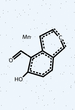 O=Cc1c(O)ccc2ccccc12.[Mn]